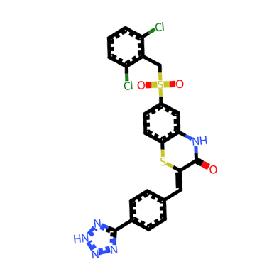 O=C1Nc2cc(S(=O)(=O)Cc3c(Cl)cccc3Cl)ccc2SC1=Cc1ccc(-c2nn[nH]n2)cc1